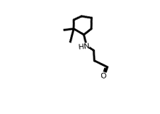 CC1(C)CCCCC1NCCC=O